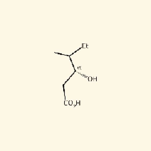 CCC(C)[C@H](O)CC(=O)O